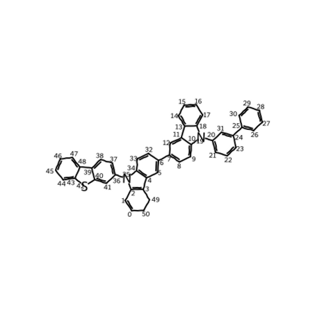 C1=Cc2c(c3cc(-c4ccc5c(c4)c4ccccc4n5-c4cccc(-c5ccccc5)c4)ccc3n2-c2ccc3c(c2)sc2ccccc23)CC1